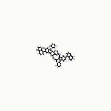 C=C1CCc2cc3c4cc(-c5nccc6ccccc56)ccc4n(-c4ccccc4)c3c3c2C/C(=C\c2c1n(C1C=CC=CC1)c1ccc(-c4nccc5ccccc45)cc21)CC3